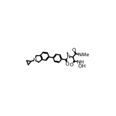 CNC(=O)C(C(=O)NO)N(C)C(=O)c1ccc(-c2ccc3c(c2)CN(C2CC2)C3)cc1